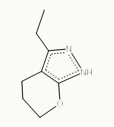 CCc1n[nH]c2c1CCCO2